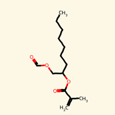 C=C(C)C(=O)OC(CCCCCCC)COC=O